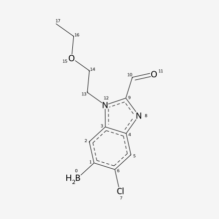 Bc1cc2c(cc1Cl)nc(C=O)n2CCOCC